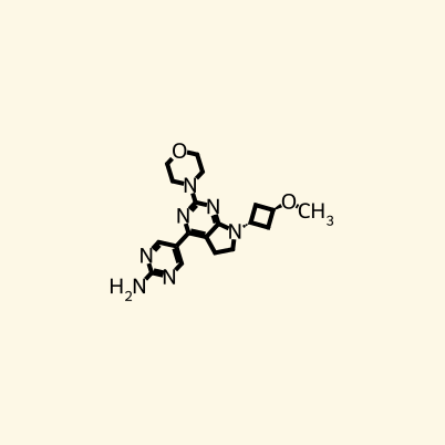 CO[C@H]1C[C@H](N2CCc3c(-c4cnc(N)nc4)nc(N4CCOCC4)nc32)C1